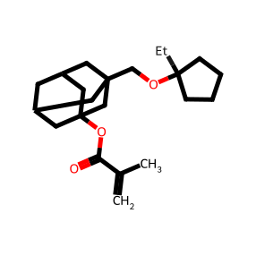 C=C(C)C(=O)OC12CC3CC(CC(COC4(CC)CCCC4)(C3)C1)C2